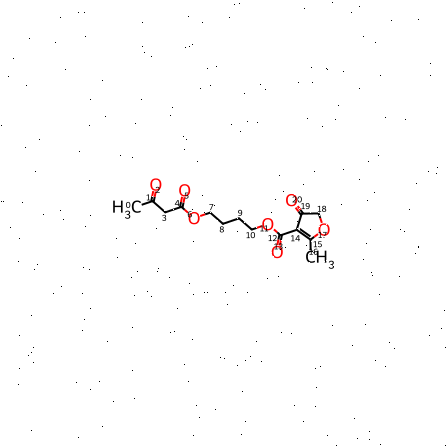 CC(=O)CC(=O)OCCCCOC(=O)C1=C(C)OCC1=O